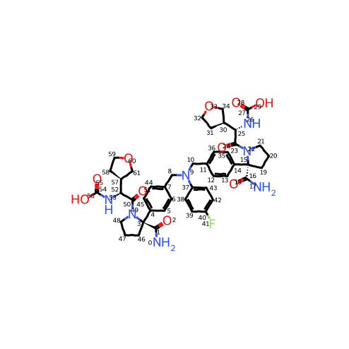 NC(=O)[C@@]1(c2ccc(CN(Cc3ccc([C@]4(C(N)=O)CCCN4C(=O)[C@@H](NC(=O)O)[C@H]4CCOC4)cc3)c3ccc(F)cc3)cc2)CCCN1C(=O)[C@@H](NC(=O)O)[C@H]1CCOC1